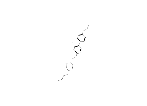 CCCC[C@H]1CC[C@H](CCc2ncc(-c3ccc(CCC)cc3)c(F)n2)CC1